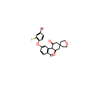 CCc1ccc(Oc2ccc(Br)cc2F)cc1C1C(=O)CC2(CCOCC2)CC1=O